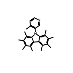 Cc1ccncc1-n1c2c(C)c(C)c(C)c(C)c2c2c(C)c(C)c(C)c(C)c21